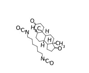 C[C@]12CCC(=O)C=C1CC[C@@H]1[C@@H]2CC[C@]2(C)C(=O)CC[C@@H]12.O=C=NCCCCCCN=C=O